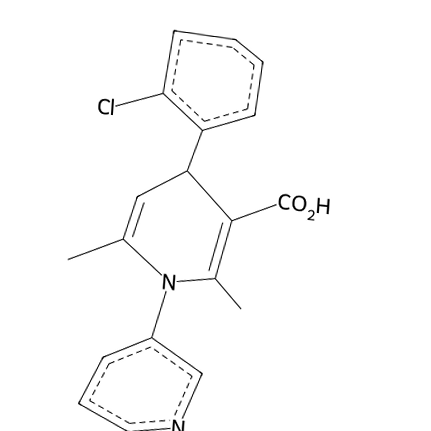 CC1=CC(c2ccccc2Cl)C(C(=O)O)=C(C)N1c1cccnc1